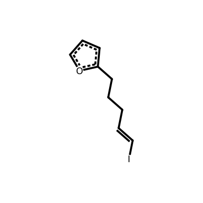 IC=CCCCc1ccco1